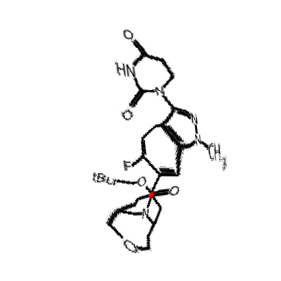 Cn1nc(N2CCC(=O)NC2=O)c2cc(F)c(C3CC4COCC(C3)N4C(=O)OC(C)(C)C)cc21